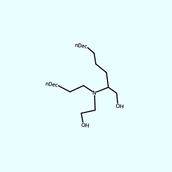 CCCCCCCCCCCCCC(CO)N(CCO)CCCCCCCCCCCC